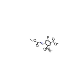 CCOC(=O)/C=C/c1cc(F)c(C(=O)OC)cc1[N+](=O)[O-]